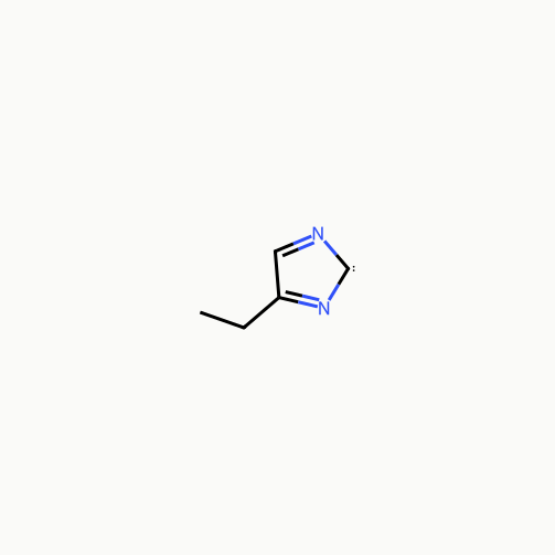 CCC1=N[C]N=C1